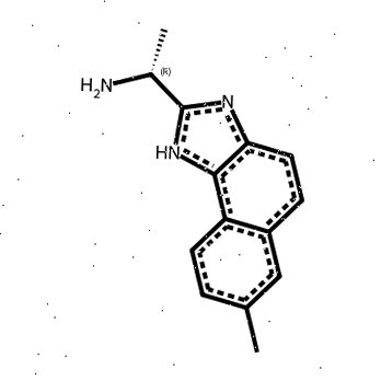 Cc1ccc2c(ccc3nc([C@@H](C)N)[nH]c32)c1